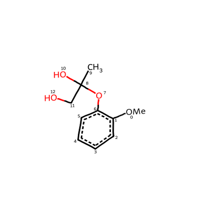 COc1ccccc1OC(C)(O)CO